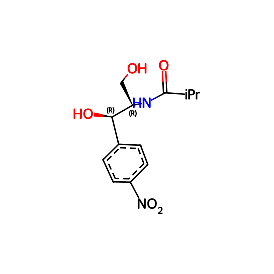 CC(C)C(=O)N[C@H](CO)[C@H](O)c1ccc([N+](=O)[O-])cc1